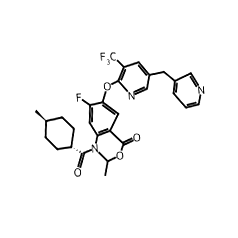 CC1OC(=O)c2cc(Oc3ncc(Cc4cccnc4)cc3C(F)(F)F)c(F)cc2N1C(=O)[C@H]1CC[C@H](C)CC1